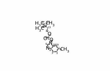 Cc1ccc2ncn(OC(=O)OCC[Si](C)(C)C)c2c1